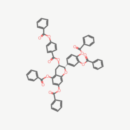 O=C(Oc1ccc(C(=O)O[C@@H]2Cc3c(OC(=O)c4ccccc4)cc(OC(=O)c4ccccc4)cc3O[C@H]2c2ccc(OC(=O)c3ccccc3)c(OC(=O)c3ccccc3)c2)cc1)c1ccccc1